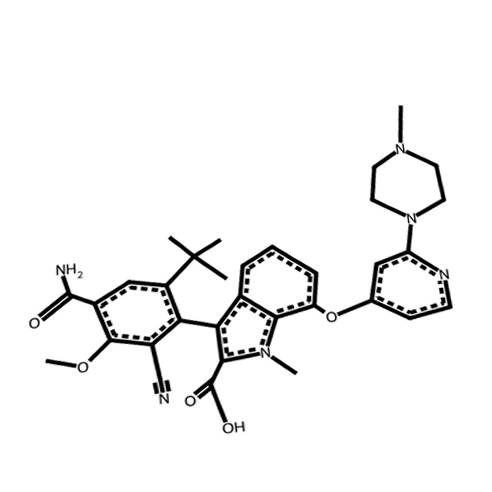 COc1c(C(N)=O)cc(C(C)(C)C)c(-c2c(C(=O)O)n(C)c3c(Oc4ccnc(N5CCN(C)CC5)c4)cccc23)c1C#N